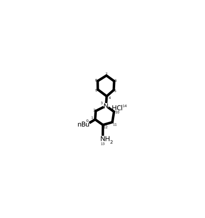 CCCCC1CN(C2CCCCC2)CCC1N.Cl